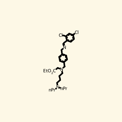 CCCN(CCC)CCCCN(CC(=O)OCC)Cc1ccc(CN=Cc2ccc(Cl)cc2Cl)cc1